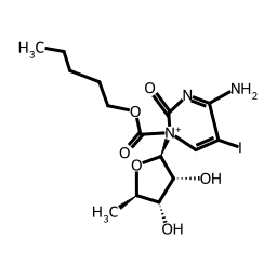 CCCCCOC(=O)[N+]1([C@@H]2O[C@H](C)[C@@H](O)[C@H]2O)C=C(I)C(N)=NC1=O